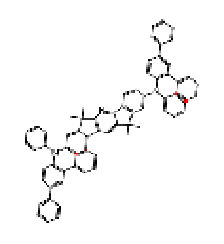 CC1(C)c2cc(N(c3ccccc3)c3ccc(-c4ccccc4)cc3-c3ccccc3)ccc2-c2nc3c(cc21)-c1ccc(N(c2ccccc2)c2ccc(-c4ccccc4)cc2-c2ccccc2)cc1C3(C)C